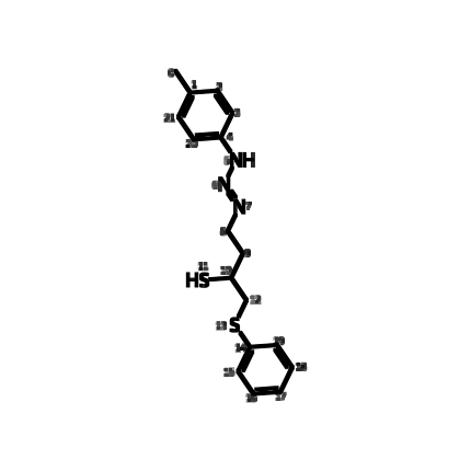 Cc1ccc(NN=NCCC(S)CSc2ccccc2)cc1